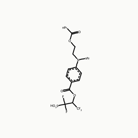 CCCC(=O)OCCN(CCC)c1ccc(C(=O)OC(C(F)(F)F)C(F)(F)S(=O)(=O)O)cc1